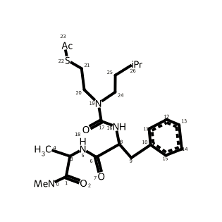 CNC(=O)C(C)NC(=O)C(Cc1ccccc1)NC(=O)N(CCSC(C)=O)CCC(C)C